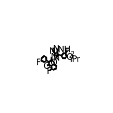 CC(C)Oc1ccc(-c2nn(Cc3oc4cccc(F)c4c(=O)c3-c3cccc(F)c3)c3ncnc(N)c23)cc1F